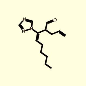 C=CCC(C=O)C(=CCCCCC)n1cncn1